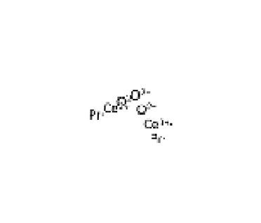 [Ce+3].[Ce+3].[O-2].[O-2].[O-2].[Pr].[Pr]